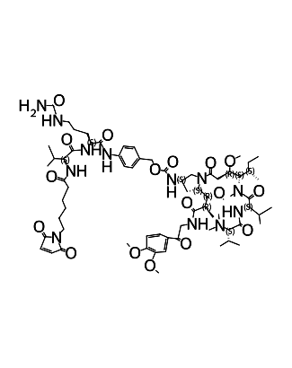 CC[C@H](C)[C@@H]([C@@H](CC(=O)N1C[C@@H](NC(=O)OCc2ccc(NC(=O)[C@H](CCCNC(N)=O)NC(=O)[C@@H](NC(=O)CCCCCN3C(=O)C=CC3=O)C(C)C)cc2)C[C@H]1[C@H](OC)[C@@H](C)C(=O)NCC(=O)c1ccc(OC)c(OC)c1)OC)N(C)C(=O)[C@@H](NC(=O)[C@H](C(C)C)N(C)C)C(C)C